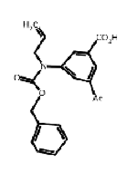 C=CCN(C(=O)OCc1ccccc1)c1cc(C(C)=O)cc(C(=O)O)c1